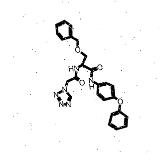 O=C(Cn1cnnn1)NC(COCc1ccccc1)C(=O)Nc1ccc(Oc2ccccc2)cc1